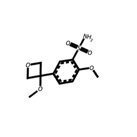 COc1ccc(C2(OC)COC2)cc1S(N)(=O)=O